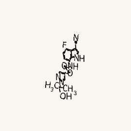 CC(C)(CO)n1cc(S(=O)(=O)Nc2ccc(F)c3c(C#N)c[nH]c23)cn1